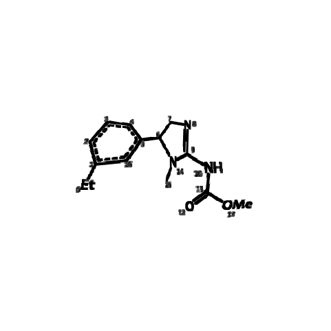 CCc1cccc(C2CN=C(NC(=O)OC)N2C)c1